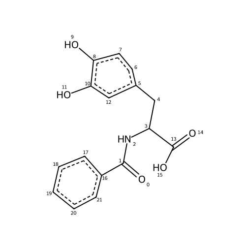 O=C(NC(Cc1ccc(O)c(O)c1)C(=O)O)c1ccccc1